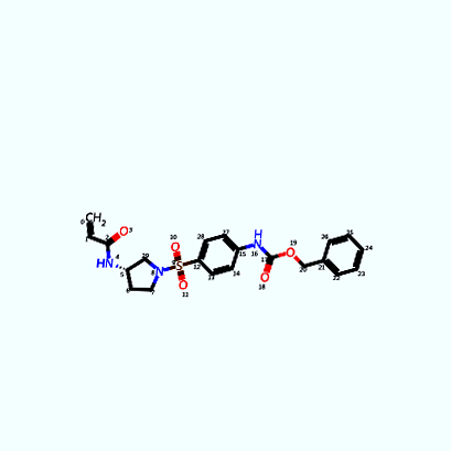 C=CC(=O)N[C@H]1CCN(S(=O)(=O)c2ccc(NC(=O)OCc3ccccc3)cc2)C1